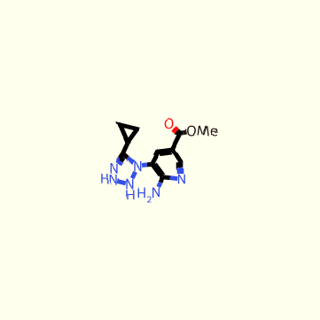 COC(=O)c1cnc(N)c(N2NNN=C2C2CC2)c1